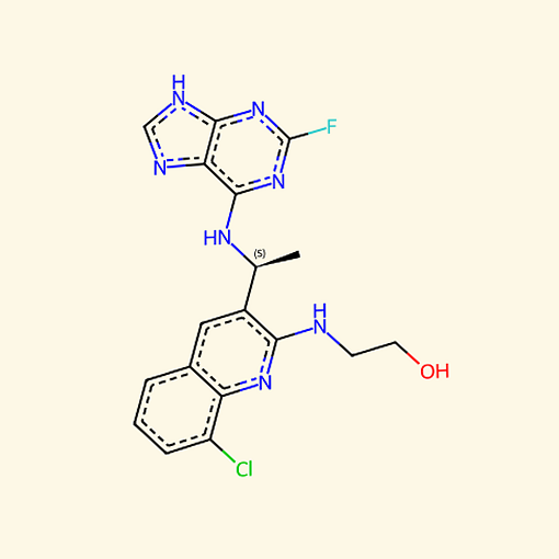 C[C@H](Nc1nc(F)nc2[nH]cnc12)c1cc2cccc(Cl)c2nc1NCCO